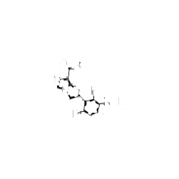 COC(=O)c1ncn2cc(-c3c(F)ccc(N)c3F)sc12